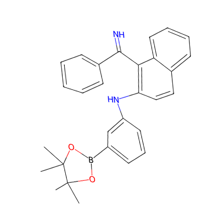 CC1(C)OB(c2cccc(Nc3ccc4ccccc4c3C(=N)c3ccccc3)c2)OC1(C)C